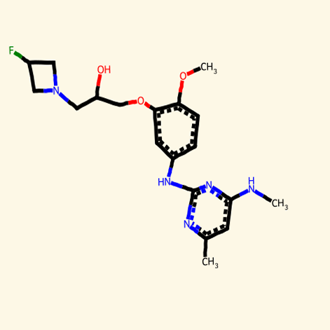 CNc1cc(C)nc(Nc2ccc(OC)c(OCC(O)CN3CC(F)C3)c2)n1